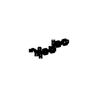 CCCC(CC)C(=O)Nc1ccc(-c2ccnc(Nc3ccc(N4CCOCC4)cc3)n2)cc1